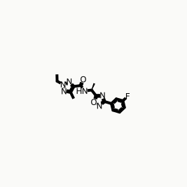 CCn1nc(C)c(C(=O)N[C@@H](C)c2nc(-c3cccc(F)c3)no2)n1